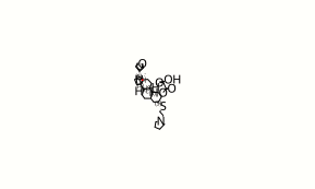 C[C@]12CC[C@H]3[C@@H](CCC4C[C@@H](SCCN5CCCC5)CC[C@@]43C)[C@@H]1CC[C@@H]2c1ccoc1.O=C(O)C(=O)O